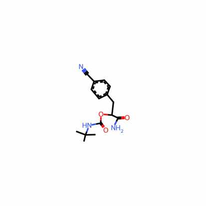 CC(C)(C)NC(=O)OC(Cc1ccc(C#N)cc1)C(N)=O